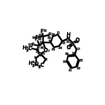 CC[Si](CC)(CC)OC(C1CCC(NS(=O)(=O)Cc2ccccc2)CC1)(C(F)(F)F)C(F)(F)F